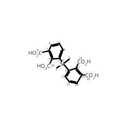 C[Si](C)(c1cccc(C(=O)O)c1C(=O)O)c1cccc(C(=O)O)c1C(=O)O